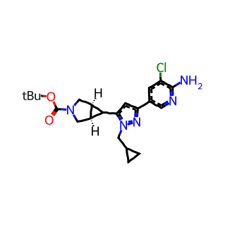 CC(C)(C)OC(=O)N1C[C@@H]2C(c3cc(-c4cnc(N)c(Cl)c4)nn3CC3CC3)[C@@H]2C1